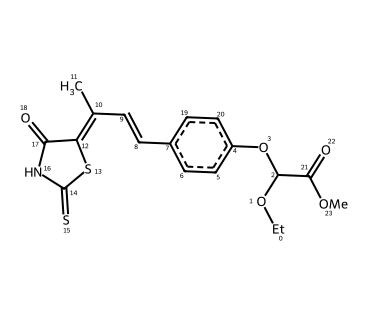 CCOC(Oc1ccc(C=CC(C)=C2SC(=S)NC2=O)cc1)C(=O)OC